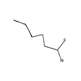 CCCCCC([N])F